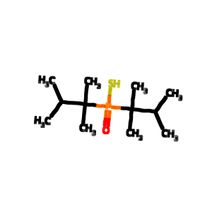 CC(C)C(C)(C)P(=O)(S)C(C)(C)C(C)C